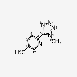 Cc1ccc(-c2nnnn2C)nc1